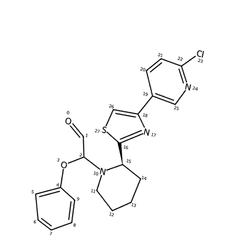 O=CC(Oc1ccccc1)N1CCCC[C@@H]1c1nc(-c2ccc(Cl)nc2)cs1